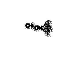 CCO[Si](CCCN(CCC[Si](OCC)(OCC)OCC)c1ccc(OC(=O)c2ccccc2)cc1)(OCC)OCC